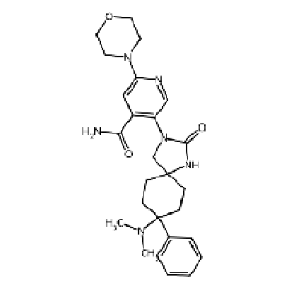 CN(C)C1(c2ccccc2)CCC2(CC1)CN(c1cnc(N3CCOCC3)cc1C(N)=O)C(=O)N2